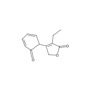 CCC1=C(C2C=CC=CC2=O)COC1=O